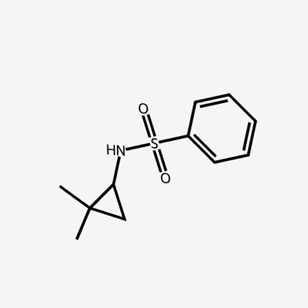 CC1(C)CC1NS(=O)(=O)c1ccccc1